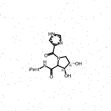 CCCC(C)NC(=O)C1[C@H](O)[C@@H](O)CN1C(=O)c1c[nH]cn1